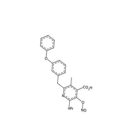 CCCc1nc(Cc2cccc(Oc3ccccc3)c2)c(C)c(C(=O)O)c1ON=O